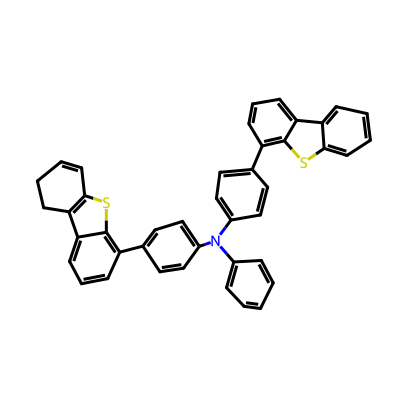 C1=Cc2sc3c(-c4ccc(N(c5ccccc5)c5ccc(-c6cccc7c6sc6ccccc67)cc5)cc4)cccc3c2CC1